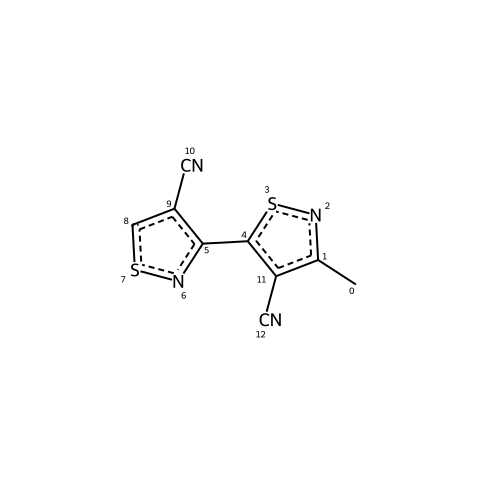 Cc1nsc(-c2ns[c]c2C#N)c1C#N